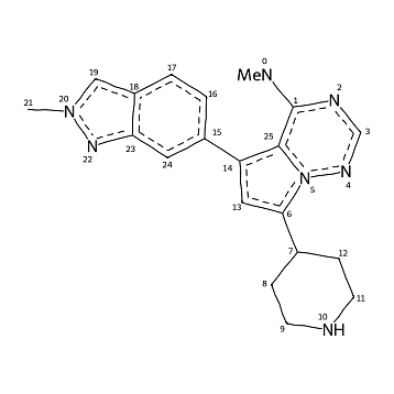 CNc1ncnn2c(C3CCNCC3)cc(-c3ccc4cn(C)nc4c3)c12